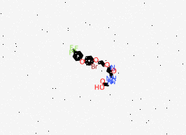 O=C(O)Cn1nnc(-c2cc(OCCCOc3ccc(Oc4ccc(C(F)(F)F)cc4)cc3Br)no2)n1